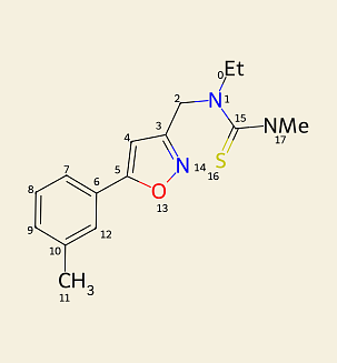 CCN(Cc1cc(-c2cccc(C)c2)on1)C(=S)NC